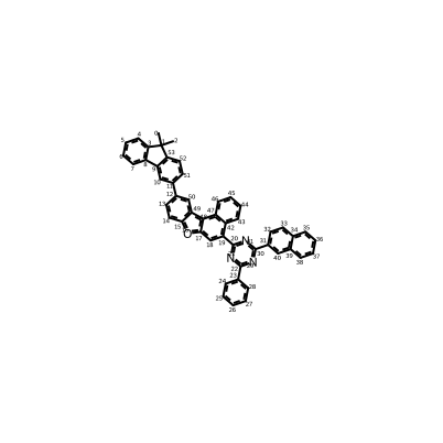 CC1(C)c2ccccc2-c2cc(-c3ccc4oc5cc(-c6nc(-c7ccccc7)nc(-c7ccc8ccccc8c7)n6)c6ccccc6c5c4c3)ccc21